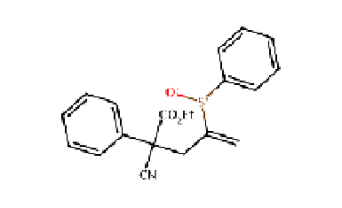 C=C(CC(C#N)(C(=O)OCC)c1ccccc1)[S+]([O-])c1ccccc1